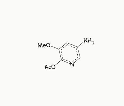 COc1cc(N)cnc1OC(C)=O